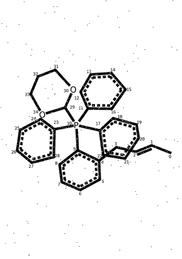 CC=CCc1ccccc1P(c1ccccc1)(c1ccccc1)(c1ccccc1)C1OCCCO1